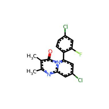 Cc1nc2cc(Cl)cc(-c3ccc(Cl)cc3F)n2c(=O)c1C